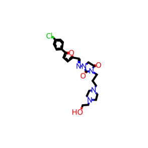 O=C1CN(N=Cc2ccc(-c3ccc(Cl)cc3)o2)C(=O)N1CCCN1CCN(CCO)CC1